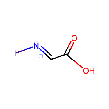 O=C(O)/C=N/I